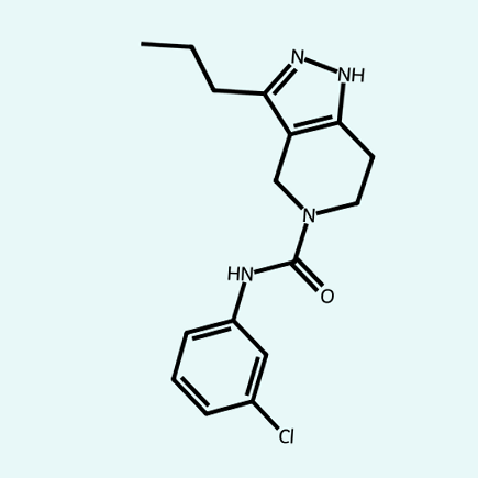 CCCc1n[nH]c2c1CN(C(=O)Nc1cccc(Cl)c1)CC2